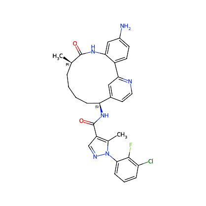 Cc1c(C(=O)N[C@H]2CCCC[C@@H](C)C(=O)Nc3cc(N)ccc3-c3cc2ccn3)cnn1-c1cccc(Cl)c1F